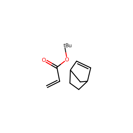 C1=CC2CCC1C2.C=CC(=O)OC(C)(C)C